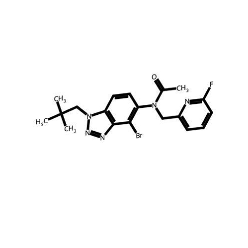 CC(=O)N(Cc1cccc(F)n1)c1ccc2c(nnn2CC(C)(C)C)c1Br